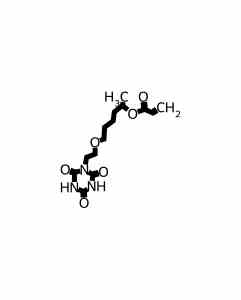 C=CC(=O)OC(C)CCCCOCCn1c(=O)[nH]c(=O)[nH]c1=O